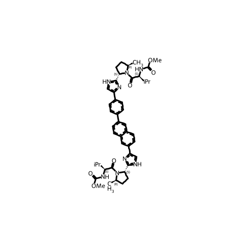 COC(=O)N[C@H](C(=O)N1[C@H](C)CC[C@H]1c1nc(-c2ccc(-c3ccc4cc(-c5c[nH]c([C@@H]6CC[C@@H](C)N6C(=O)[C@@H](NC(=O)OC)C(C)C)n5)ccc4c3)cc2)c[nH]1)C(C)C